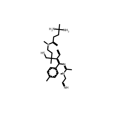 C=C/C(=C(\N=C(\C)N(C)CC=N)c1ccc(C)cc1)C(C)(CS)CCN(C)C(=C)CCC(C)(N)N